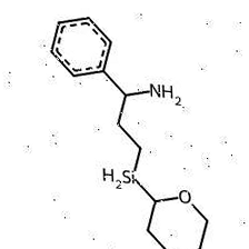 NC(CC[SiH2]C1CCCCO1)c1ccccc1